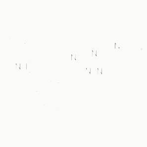 NC1(c2ccc(-c3nc4nc(-c5ccccn5)nn4[c]c3-c3ccccc3)cc2)CCC1